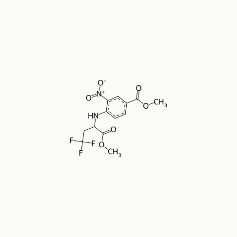 COC(=O)c1ccc(NC(CC(F)(F)F)C(=O)OC)c([N+](=O)[O-])c1